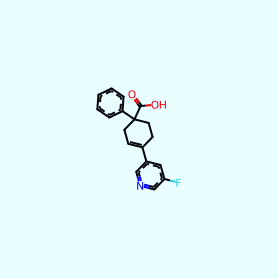 O=C(O)C1(c2ccccc2)CC=C(c2cncc(F)c2)CC1